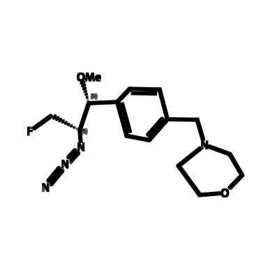 CO[C@H](c1ccc(CN2CCOCC2)cc1)[C@@H](CF)N=[N+]=[N-]